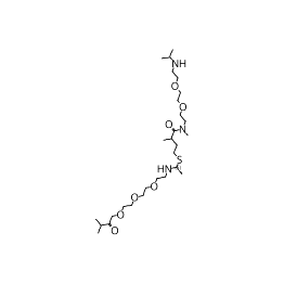 CC(C)NCCOCCOCCN(C)C(=O)C(C)CCS[C@@H](C)NCCOCCOCCOCC(=O)C(C)C